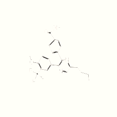 CCCCc1cnc(-c2ccc(OC)c(C(F)(F)F)c2)c(-c2ccc(C(=O)O)cc2)n1